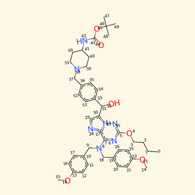 CCCCOc1nc(N(Cc2ccc(OC)cc2)Cc2ccc(OC)cc2)c2ncc(C(O)c3ccc(CN4CCC(NC(=O)OC(C)(C)C)CC4)cc3)n2n1